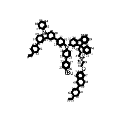 C=CC1=CC=C(C2C=C3C4C=C(C5=CC=C(N(C6=CCC(c7ccc(C(C)(C)C)cc7)C=C6)C6C=C7C(=CC6)c6ccccc6C7(CCC[Si](C)(C)CCOc6ccc7c(c6)CCC(C6=CCC(C=C)CC6)=C7)c6ccccc6)CC5)CCC4N(C4=CC=CCC4)C3CC2)CC1